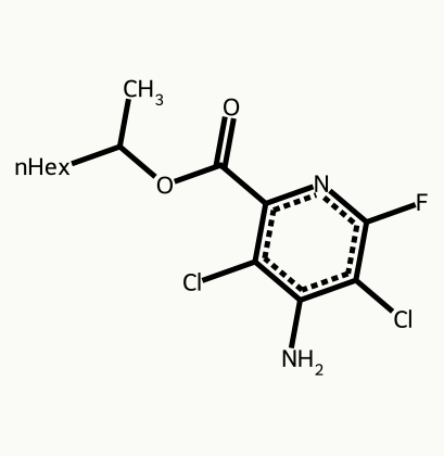 CCCCCCC(C)OC(=O)c1nc(F)c(Cl)c(N)c1Cl